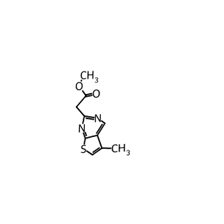 COC(=O)Cc1ncc2c(C)csc2n1